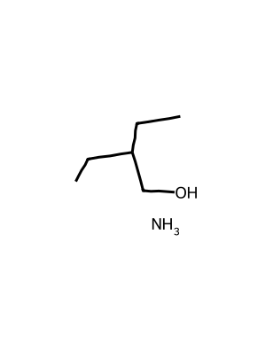 CCC(CC)CO.N